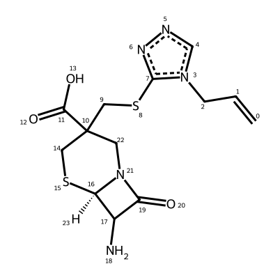 C=CCn1cnnc1SCC1(C(=O)O)CS[C@@H]2C(N)C(=O)N2C1